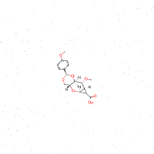 COc1ccc([C@@H]2OC[C@H]3O[C@@H]4C(C(=O)O)[C@@H]4[C@@H](OC)[C@@H]3O2)cc1